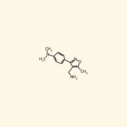 Cc1onc(-c2ccc(N(C)C)cc2)c1CN